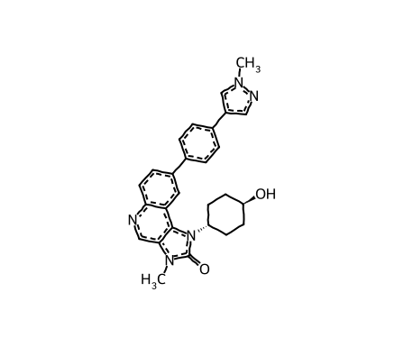 Cn1cc(-c2ccc(-c3ccc4ncc5c(c4c3)n([C@H]3CC[C@H](O)CC3)c(=O)n5C)cc2)cn1